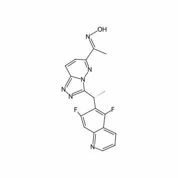 CC(=NO)c1ccc2nnc([C@H](C)c3c(F)cc4ncccc4c3F)n2n1